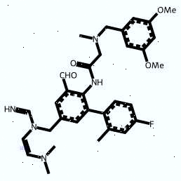 COc1cc(CN(C)CC(=O)Nc2c(C=O)cc(CN(C=N)/C=C\N(C)C)cc2-c2ccc(F)cc2C)cc(OC)c1